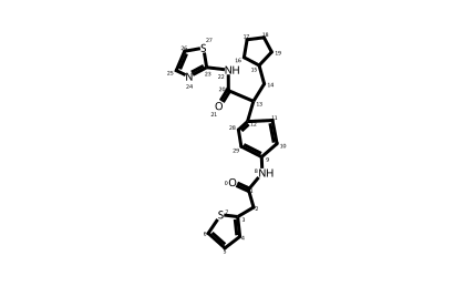 O=C(Cc1cccs1)Nc1ccc(C(CC2CCCC2)C(=O)Nc2nccs2)cc1